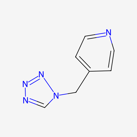 c1cc(Cn2cnnn2)ccn1